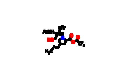 CC=CC1CC(C(=O)OC(=O)C(F)(F)F)N(C[C@H](CCC)C(CO)NC(C)=O)C1